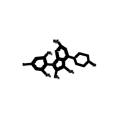 CCC1CCN(c2nc(C)nc3c2c(C)c(C)n3-c2c(C)cc(Br)cc2C)CC1